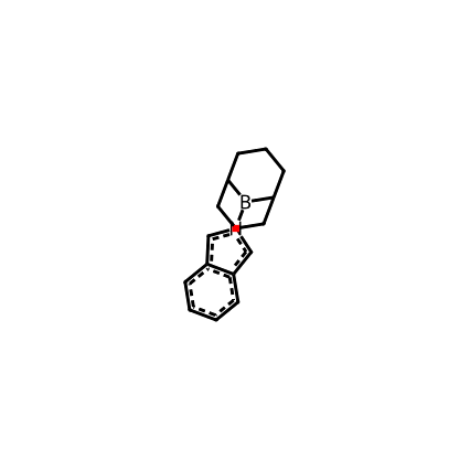 c1ccc2cn(B3C4CCCC3CCC4)cc2c1